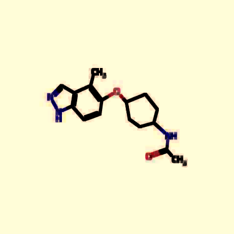 CC(=O)NC1CCC(Oc2ccc3[nH]ncc3c2C)CC1